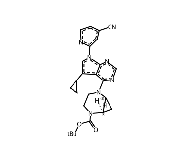 CC(C)(C)OC(=O)N1CCN(c2ncnc3c2c(C2CC2)cn3-c2cc(C#N)ccn2)[C@H]2C[C@H]21